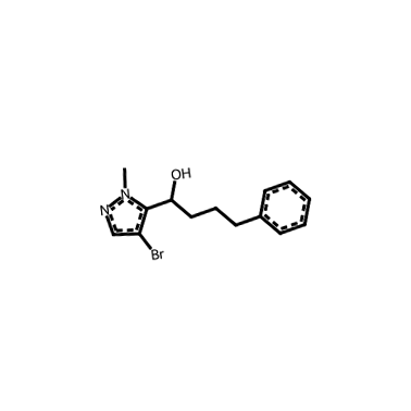 Cn1ncc(Br)c1C(O)CCCc1ccccc1